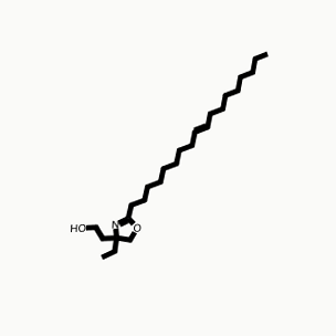 CCCCCCCCC=CCCCCCCCCC1=NC(CC)(CCO)CO1